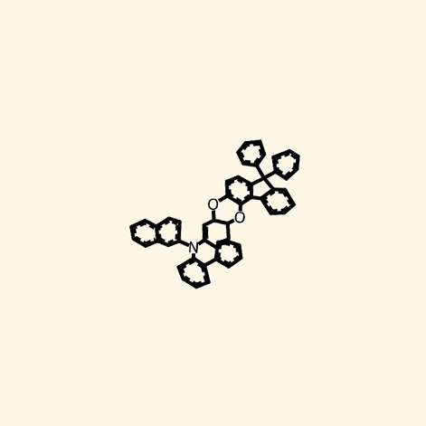 C1=C(N(c2ccc3ccccc3c2)c2ccccc2-c2ccccc2)CCC2Oc3c(ccc4c3-c3ccccc3C4(c3ccccc3)c3ccccc3)OC12